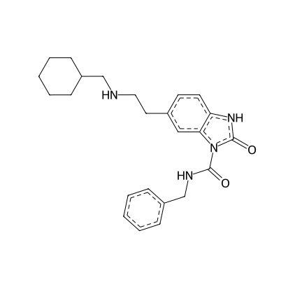 O=C(NCc1ccccc1)n1c(=O)[nH]c2ccc(CCNCC3CCCCC3)cc21